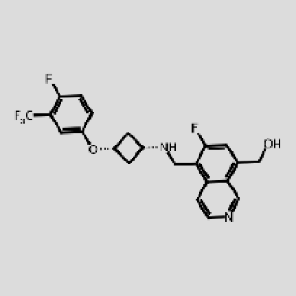 OCc1cc(F)c(CN[C@H]2C[C@@H](Oc3ccc(F)c(C(F)(F)F)c3)C2)c2ccncc12